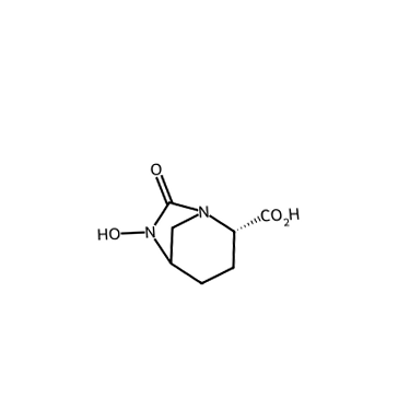 O=C(O)[C@@H]1CCC2CN1C(=O)N2O